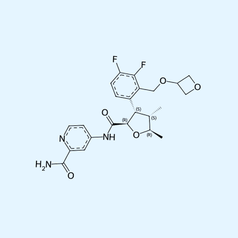 C[C@H]1[C@@H](c2ccc(F)c(F)c2COC2COC2)[C@H](C(=O)Nc2ccnc(C(N)=O)c2)O[C@@H]1C